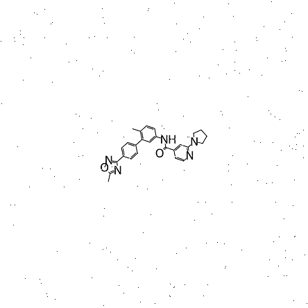 Cc1nc(-c2ccc(-c3cc(NC(=O)c4ccnc(N5CCCC5)c4)ccc3C)cc2)no1